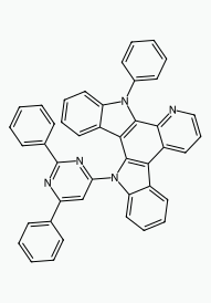 c1ccc(-c2cc(-n3c4ccccc4c4c5cccnc5c5c(c6ccccc6n5-c5ccccc5)c43)nc(-c3ccccc3)n2)cc1